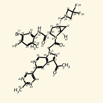 CC(=O)c1nn(CC(=O)N2[C@H](C(=O)Nc3nc(Br)c(F)cc3C)C[C@@]3(CN4CC(F)(F)C4)C[C@@H]23)c2cnc(-c3cnc(C)nc3)cc12